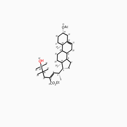 CCOC(=O)/C(=C\[C@@H](C)[C@H]1CCC2C3CC=C4C[C@@H](OC(C)=O)CC[C@]4(C)C3CC[C@@]21C)CC(C)(C)[Si](C)(C)O